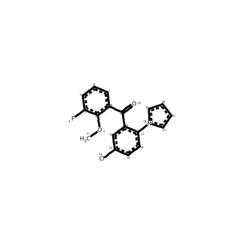 COc1c(F)cccc1C(=O)c1cc(Cl)ccc1-n1cccc1